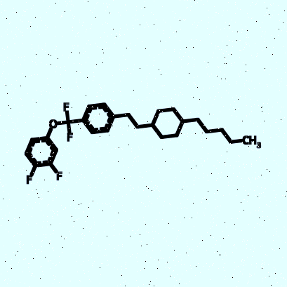 CCCCCC1CCC(CCc2ccc(C(F)(F)Oc3ccc(F)c(F)c3)cc2)CC1